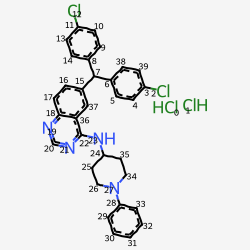 Cl.Cl.Clc1ccc(C(c2ccc(Cl)cc2)c2ccc3ncnc(NC4CCN(c5ccccc5)CC4)c3c2)cc1